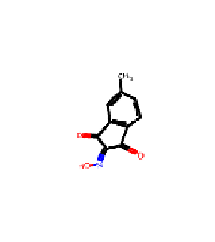 Cc1ccc2c(=O)c(=NO)c(=O)c2c1